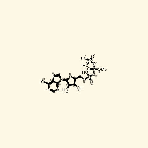 COP(=O)(OP(=O)(O)O)OP(=O)(O)OCC1OC(n2cnc3c(Cl)ncnc32)C(O)C1O